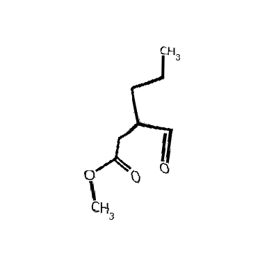 CCCC(C=O)CC(=O)OC